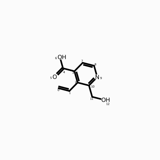 C=Cc1c(C(=O)O)ccnc1CO